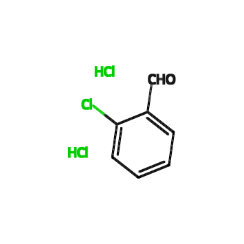 Cl.Cl.O=Cc1ccccc1Cl